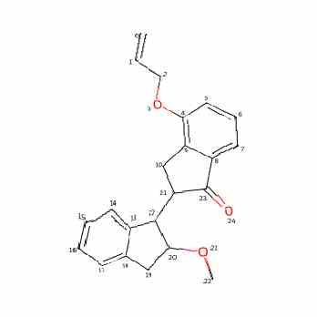 C=CCOc1cccc2c1CC(C1c3ccccc3CC1OC)C2=O